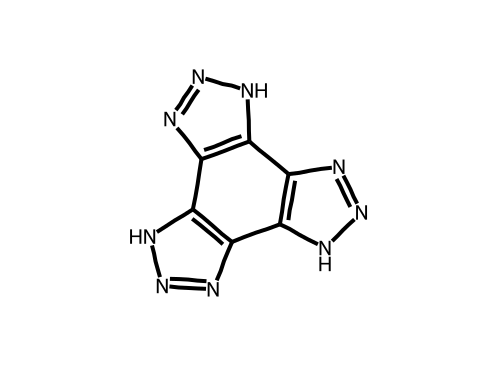 n1nc2c([nH]1)c1nn[nH]c1c1nn[nH]c21